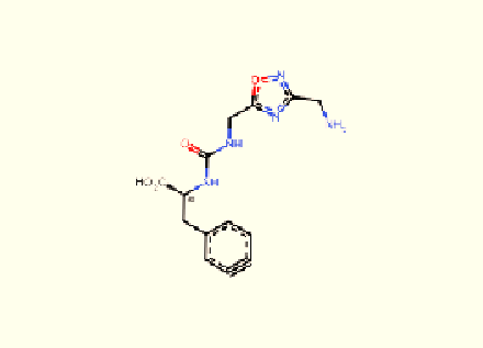 NCc1noc(CNC(=O)N[C@@H](Cc2cc#ccc2)C(=O)O)n1